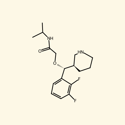 CC(C)NC(=O)CO[C@@H](c1cccc(F)c1F)[C@@H]1CCCNC1